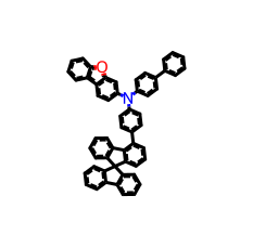 c1ccc(-c2ccc(N(c3ccc(-c4cccc5c4-c4ccccc4C54c5ccccc5-c5ccccc54)cc3)c3ccc4c(c3)oc3ccccc34)cc2)cc1